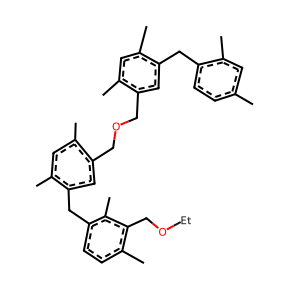 CCOCc1c(C)ccc(Cc2cc(COCc3cc(Cc4ccc(C)cc4C)c(C)cc3C)c(C)cc2C)c1C